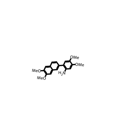 COc1cc(N)c(-c2ccc3cc(OC)c(OC)cc3c2)cc1OC